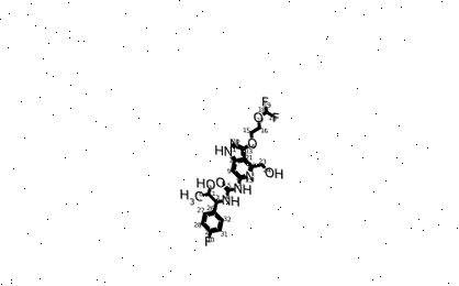 CC(O)C(NC(=O)Nc1cc2[nH]nc(OCCOC(F)F)c2c(CO)n1)c1ccc(F)cc1